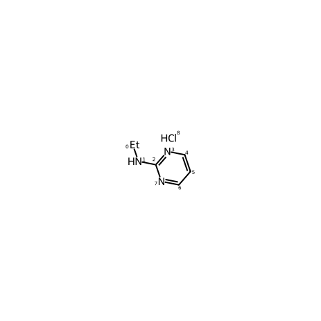 CCNc1ncccn1.Cl